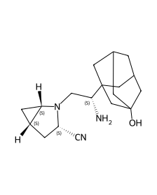 N#C[C@@H]1C[C@@H]2C[C@@H]2N1C[C@@H](N)C12CC3CC(CC(O)(C3)C1)C2